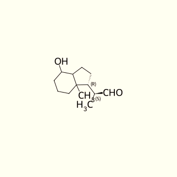 C[C@H](C=O)[C@H]1CCC2C(O)CCCC21C